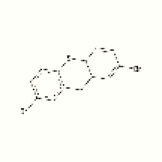 BrC1=CC2Cc3cc(Br)ccc3SC2C=C1